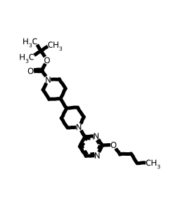 CCCCOc1nccc(N2CCC(C3CCN(C(=O)OC(C)(C)C)CC3)CC2)n1